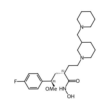 CO[C@H](C[C@H](CCN1CCCC(CN2CCCCC2)C1)C(=O)NO)c1ccc(F)cc1